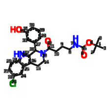 CC(C)(C)OC(=O)NCCCC(=O)N1CCc2c([nH]c3ccc(Cl)cc23)C1c1cccc(O)c1